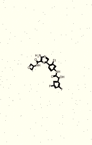 CCc1cc(NC(=O)C(O)c2cc(F)cc(F)c2)ccc1-c1cnc(N)c(C(=O)NC2COC2)n1